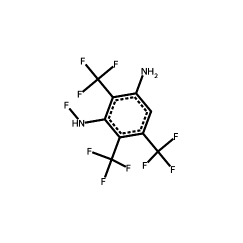 Nc1cc(C(F)(F)F)c(C(F)(F)F)c(NF)c1C(F)(F)F